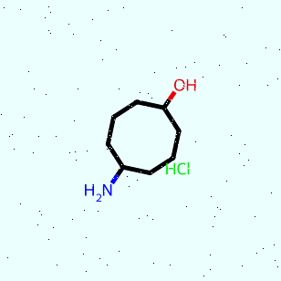 Cl.NC1CCCC(O)CCC1